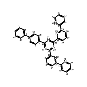 c1ccc(-c2ccc(-c3nc(-c4cccc(-c5ccccn5)n4)nc(-c4cccc(-c5ccccn5)n4)n3)cc2)cc1